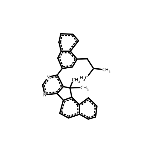 CC(C)Cc1cc(-c2ncnc3c2C(C)(C)c2c-3ccc3ccccc23)cc2ccccc12